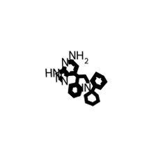 Nc1cc(C(CCNC2(c3ccccc3)CCCCC2)c2ccccc2)c2nn[nH]c2n1